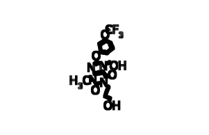 Cn1c(=O)n(CCCO)c(=O)c2c1nc(Oc1cccc(OC(F)(F)F)c1)n2CO